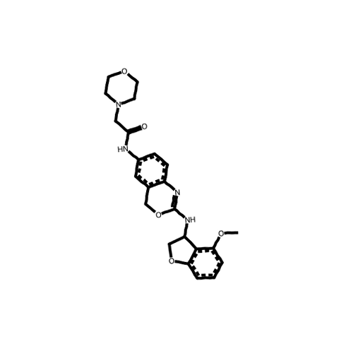 COc1cccc2c1C(NC1=Nc3ccc(NC(=O)CN4CCOCC4)cc3CO1)CO2